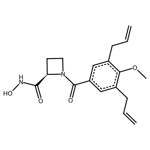 C=CCc1cc(C(=O)N2CC[C@@H]2C(=O)NO)cc(CC=C)c1OC